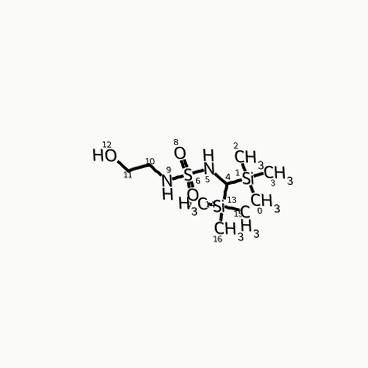 C[Si](C)(C)C(NS(=O)(=O)NCCO)[Si](C)(C)C